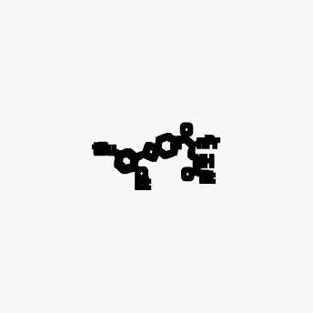 CCC[C@H](CNC(=O)CC)C(=O)N1CCC2(CC1)CC(c1cc(C(C)(C)C)ccc1OCC)C2